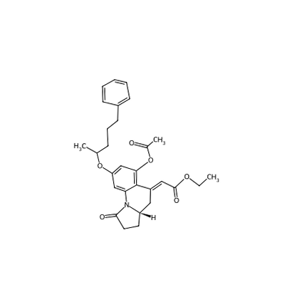 CCOC(=O)C=C1C[C@@H]2CCC(=O)N2c2cc(OC(C)CCCc3ccccc3)cc(OC(C)=O)c21